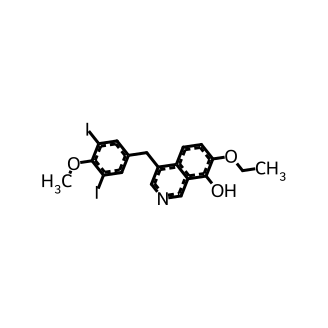 CCOc1ccc2c(Cc3cc(I)c(OC)c(I)c3)cncc2c1O